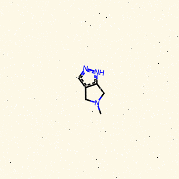 CN1Cc2[c]n[nH]c2C1